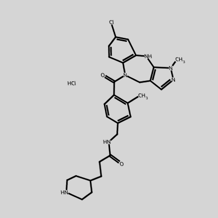 Cc1cc(CNC(=O)CCC2CCNCC2)ccc1C(=O)N1Cc2cnn(C)c2Nc2cc(Cl)ccc21.Cl